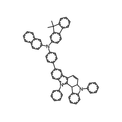 CC1(C)c2ccccc2-c2ccc(N(c3ccc(-c4ccc5c(c4)c4c(n5-c5ccccc5)C5c6ccccc6N(c6ccccc6)C5C=C4)cc3)c3ccc4ccccc4c3)cc21